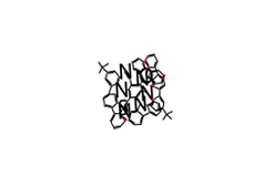 CC(C)(C)c1ccc2c(c1)c1ccc3c4ccccc4oc3c1n2-c1c(-n2c3ccccc3c3ccccc32)c(C#N)c(-n2c3ccc(C(C)(C)C)cc3c3ccc4c5ccccc5sc4c32)c(C#N)c1-n1c2ccccc2c2ccccc21